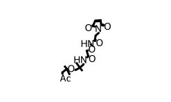 CC(=O)CC(C)(C)OCC(C)(C)CNC(=O)CONC(=O)CCN1C(=O)C=CC1=O